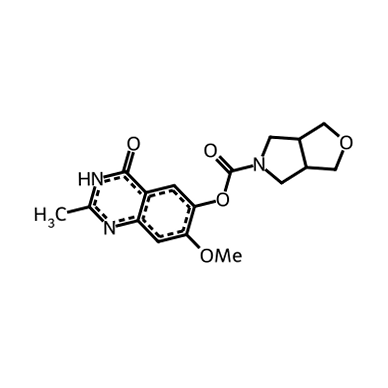 COc1cc2nc(C)[nH]c(=O)c2cc1OC(=O)N1CC2COCC2C1